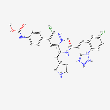 COC(=O)Nc1ccc(-c2cc([C@H](CC3CCNC3)NC(=O)C=Cc3cc(Cl)ccc3-n3cnnn3)nnc2Cl)cc1